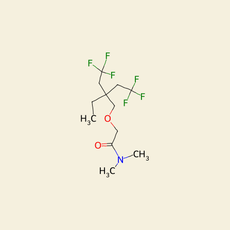 CCC(COCC(=O)N(C)C)(CC(F)(F)F)CC(F)(F)F